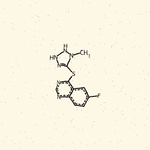 CN1NNN=C1Sc1ncnc2ccc(F)cc12